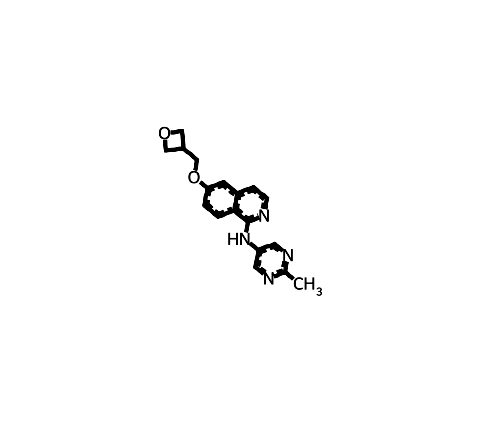 Cc1ncc(Nc2nccc3cc(OCC4COC4)ccc23)cn1